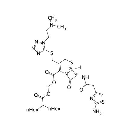 CCCCCCC(CCCCCC)C(=O)OCOC(=O)C1=C(CSc2nnnn2CCN(C)C)CS[C@H]2[C@H](NC(=O)Cc3csc(N)n3)C(=O)N12